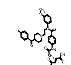 COc1cccc(N(CCN2CCC(C(=O)c3ccc(F)cc3)CC2)C(=O)c2ccc(NC(C)=O)cc2)c1.O=C(O)C=CC(=O)O